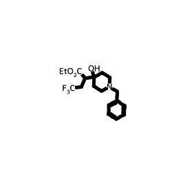 CCOC(=O)C(CC(F)(F)F)C1(O)CCN(Cc2ccccc2)CC1